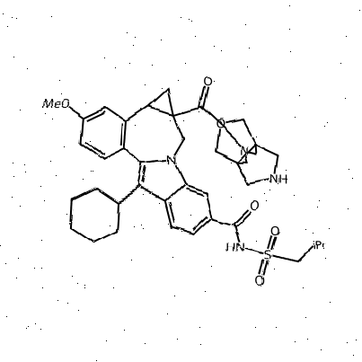 COc1ccc2c(c1)C1CC1(C(=O)N1CC34CNCC3(COC4)C1)Cn1c-2c(C2CCCCC2)c2ccc(C(=O)NS(=O)(=O)CC(C)C)cc21